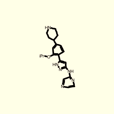 CC(C)Oc1cc(C2CCNCC2)ccc1-c1cc(Nc2cnccn2)n[nH]1